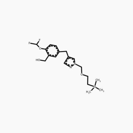 C[Si](C)(C)CCOCn1cc(Cc2ccc(OC(F)F)c(CO)c2)cn1